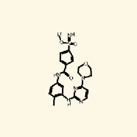 CCOS(=N)(=O)c1ccc(C(=O)Nc2ccc(C)c(Nc3nccc(N4CCOCC4)n3)c2)cc1